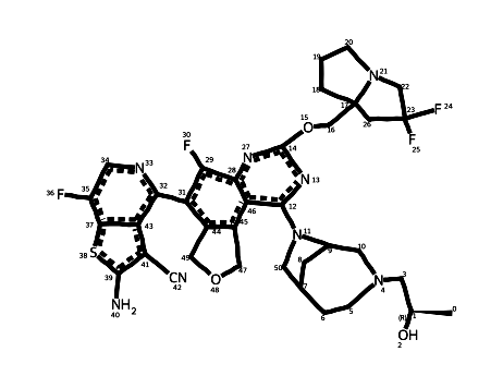 C[C@@H](O)CN1CCC2CC(C1)N(c1nc(OCC34CCCN3CC(F)(F)C4)nc3c(F)c(-c4ncc(F)c5sc(N)c(C#N)c45)c4c(c13)COC4)C2